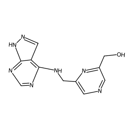 OCc1cncc(CNc2ncnc3[nH]ncc23)n1